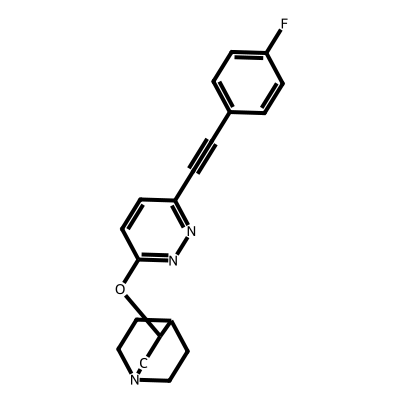 Fc1ccc(C#Cc2ccc(OC3CN4CCC3CC4)nn2)cc1